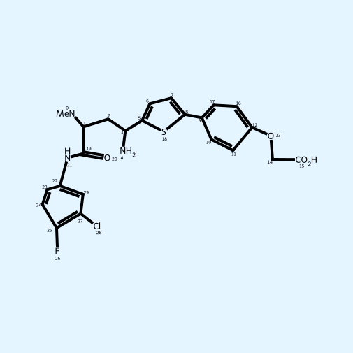 CNC(CC(N)c1ccc(-c2ccc(OCC(=O)O)cc2)s1)C(=O)Nc1ccc(F)c(Cl)c1